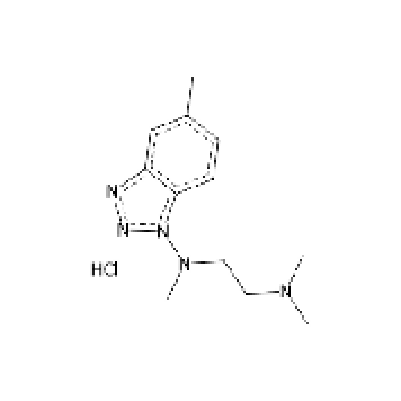 Cc1ccc2c(c1)nnn2N(C)CCN(C)C.Cl